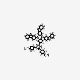 N#Cc1ccc(-c2nc(-c3ccc(C#N)cc3)nc(-c3cc4c5c(c3)N(c3ccc6c(c3)sc3ccccc36)c3cc6sc7ccccc7c6cc3B5c3cc5c(cc3-4)sc3ccccc35)n2)cc1